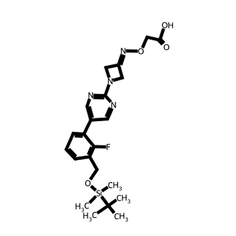 CC(C)(C)[Si](C)(C)OCc1cccc(-c2cnc(N3CC(=NOCC(=O)O)C3)nc2)c1F